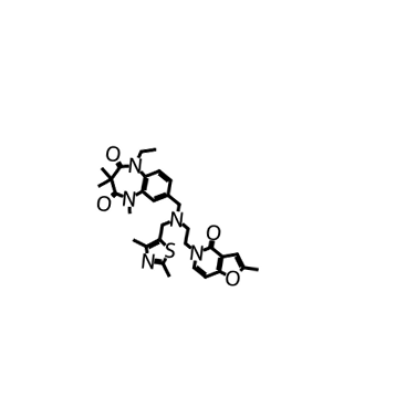 CCN1C(=O)C(C)(C)C(=O)N(C)c2cc(CN(CCn3ccc4oc(C)cc4c3=O)Cc3sc(C)nc3C)ccc21